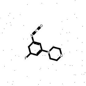 O=C=NC1=CC(N2CCOCC2)=CC(F)C1